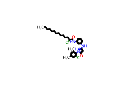 CCCCCCCCCCCCC(Cl)C(=O)Nc1cccc(Nc2cc(=O)n(-c3c(C)cc(C)cc3Cl)[nH]2)c1